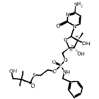 CC(C)(CO)C(=O)SCCOP(=O)(NCc1ccccc1)OC[C@H]1OC(n2ccc(N)nc2=O)[C@](C)(O)[C@@H]1O